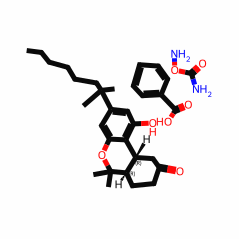 CCCCCCC(C)(C)c1cc(O)c2c(c1)OC(C)(C)[C@@H]1CCC(=O)C[C@@H]21.NOC(N)=O.O=C(O)c1ccccc1